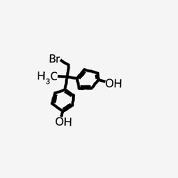 CC(CBr)(c1ccc(O)cc1)c1ccc(O)cc1